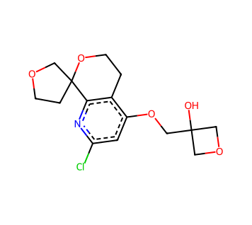 OC1(COc2cc(Cl)nc3c2CCOC32CCOC2)COC1